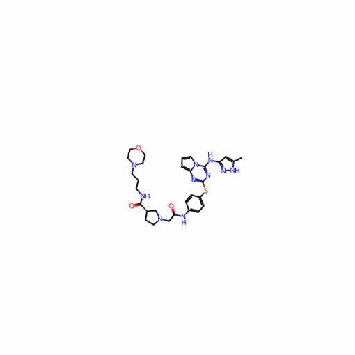 Cc1cc(Nc2nc(Sc3ccc(NC(=O)CN4CC[C@@H](C(=O)NCCCN5CCOCC5)C4)cc3)nc3cccn23)n[nH]1